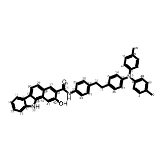 Cc1ccc(N(c2ccc(C)cc2)c2ccc(CCc3ccc(NC(=O)c4cc5ccc6c7ccccc7[nH]c6c5cc4O)cc3)cc2)cc1